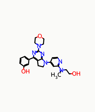 CN(CCO)c1cc(N2CCc3c(-c4cccc(O)c4)nc(N4CCOCC4)nc32)ccn1